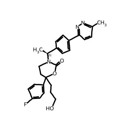 Cc1ccc(-c2ccc([C@H](C)N3CCC(CCCO)(c4ccc(F)cc4)OC3=O)cc2)nn1